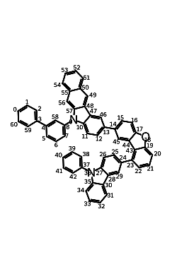 c1ccc(-c2cccc(-n3c4ccc(-c5ccc6oc7cccc(-c8ccc9c(c8)c8ccccc8n9-c8ccccc8)c7c6c5)cc4c4cc5ccccc5cc43)c2)cc1